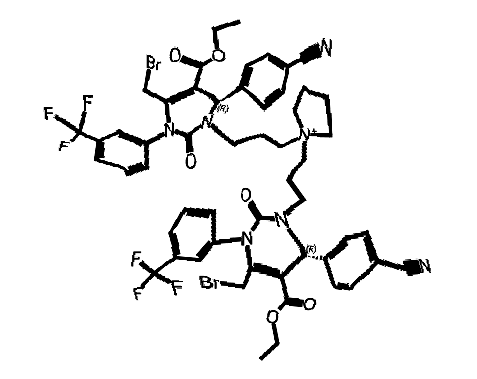 CCOC(=O)C1=C(CBr)N(c2cccc(C(F)(F)F)c2)C(=O)N(CCC[N+]2(CCCN3C(=O)N(c4cccc(C(F)(F)F)c4)C(CBr)=C(C(=O)OCC)[C@H]3c3ccc(C#N)cc3)CCCC2)[C@@H]1c1ccc(C#N)cc1